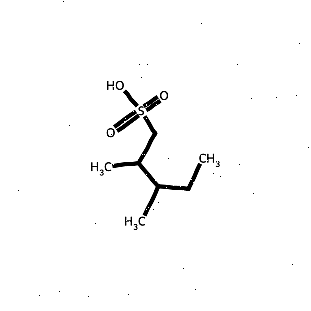 CCC(C)C(C)CS(=O)(=O)O